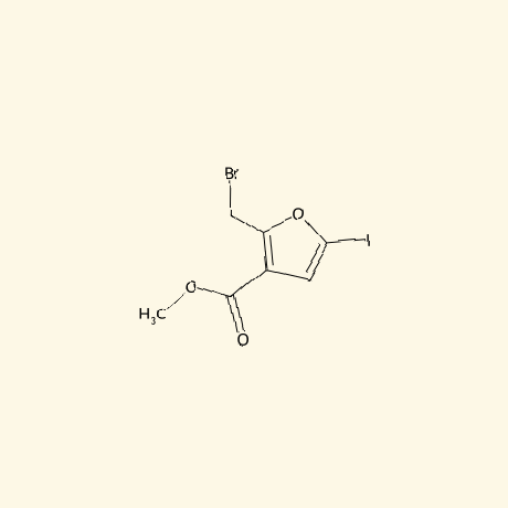 COC(=O)c1cc(I)oc1CBr